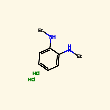 CCNc1ccccc1NCC.Cl.Cl